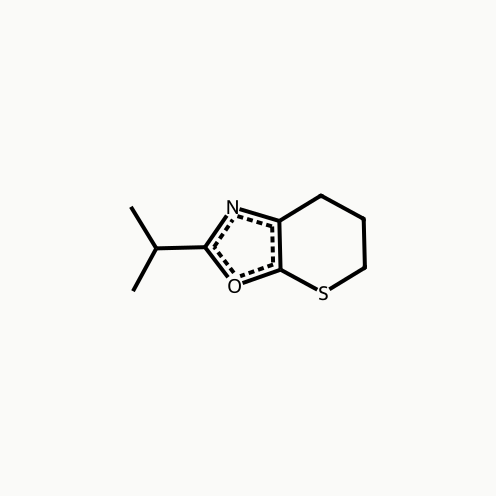 CC(C)c1nc2c(o1)SCCC2